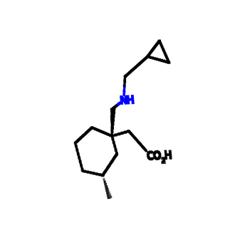 C[C@@H]1CCC[C@](CNCC2CC2)(CC(=O)O)C1